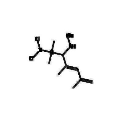 C=C(C)C=C(C)C(NC(C)(C)C)[Si](C)(C)[Ti]([Cl])[Cl]